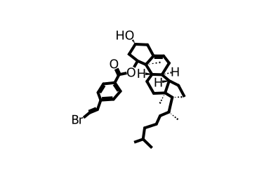 CC(C)CCC[C@@H](C)[C@H]1CC[C@H]2[C@@H]3CC=C4C[C@@H](O)CC(OC(=O)c5ccc(/C=C/Br)cc5)[C@]4(C)[C@H]3CC[C@]12C